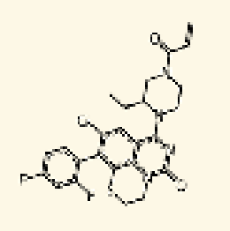 C=CC(=O)N1CCN(c2nc(=O)n3c4c(c(-c5ccc(F)cc5F)c(Cl)cc24)SCC3)[C@@H](CC)C1